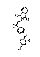 CC(=CCN1C(=O)c2ccccc2C1=O)c1ccc(Oc2ccc(Cl)cc2Cl)cc1